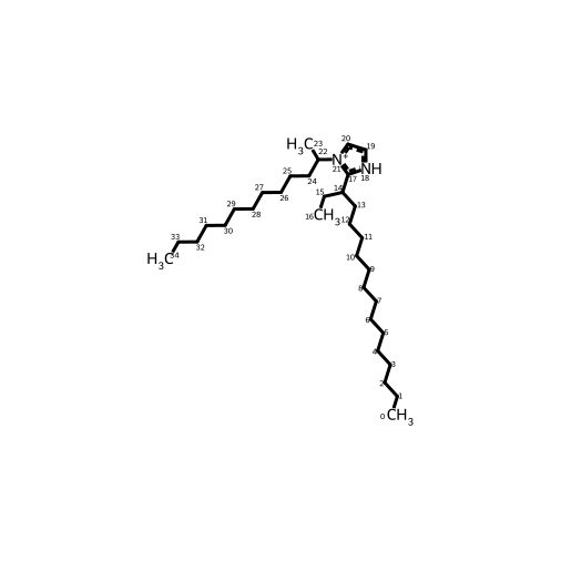 CCCCCCCCCCCCCCC(CC)c1[nH]cc[n+]1C(C)CCCCCCCCCCC